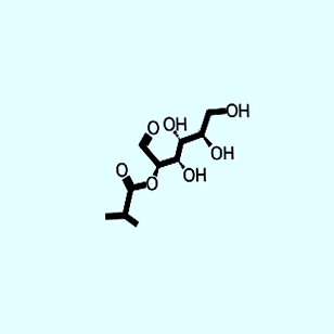 CC(C)C(=O)O[C@@H](C=O)[C@@H](O)[C@H](O)[C@H](O)CO